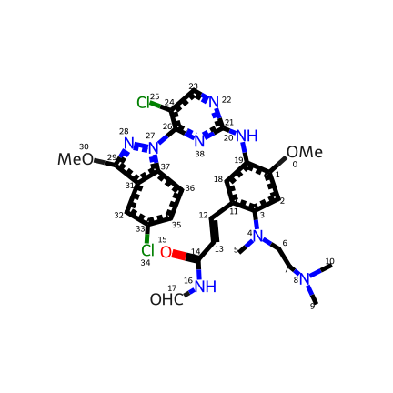 COc1cc(N(C)CCN(C)C)c(C=CC(=O)NC=O)cc1Nc1ncc(Cl)c(-n2nc(OC)c3cc(Cl)ccc32)n1